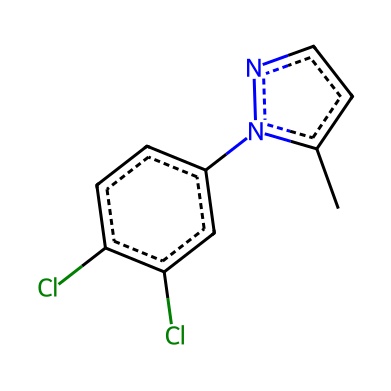 Cc1ccnn1-c1ccc(Cl)c(Cl)c1